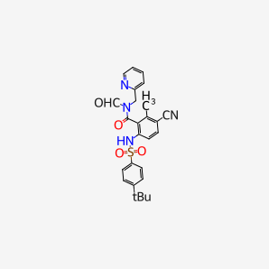 Cc1c(C#N)ccc(NS(=O)(=O)c2ccc(C(C)(C)C)cc2)c1C(=O)N(C=O)Cc1ccccn1